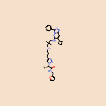 CC(C)C(C(=O)NCc1ccco1)n1cc(CCCNCC(C)(C)CNc2nn3c(-c4ccccc4)nnc3cc2C2CCC2)nn1